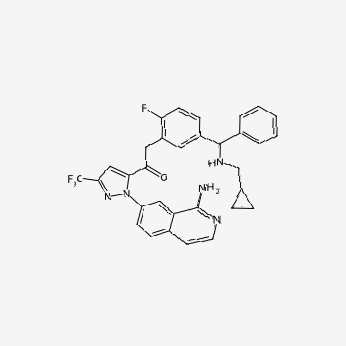 Nc1nccc2ccc(-n3nc(C(F)(F)F)cc3C(=O)Cc3cc(C(NCC4CC4)c4ccccc4)ccc3F)cc12